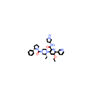 CCOc1cc(N2CCN(C(=O)N3CCC[C@H]3c3ccccc3)C[C@H]2CC)c(C(=O)N[C@@H]2CCNC2)nc1-c1cccnc1